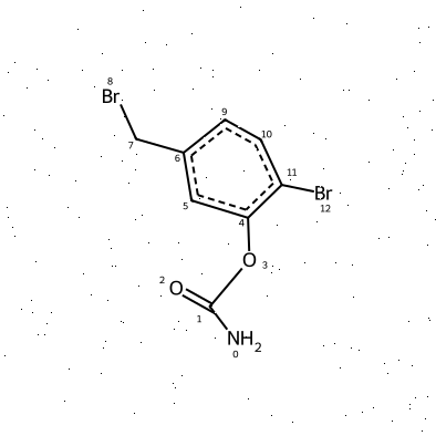 NC(=O)Oc1cc(CBr)ccc1Br